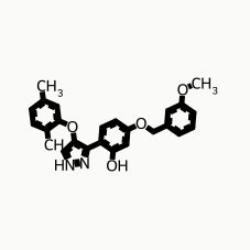 COc1cccc(COc2ccc(-c3n[nH]cc3Oc3cc(C)ccc3C)c(O)c2)c1